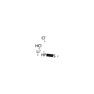 Cl.P=S.[Cl-].[Li+]